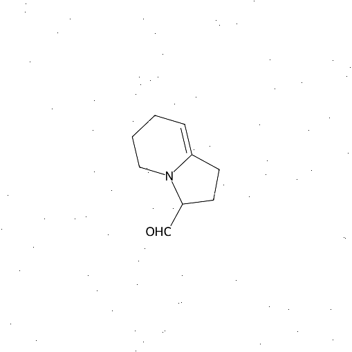 O=CC1CCC2=CCCCN21